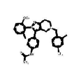 Cc1cc(C(F)(F)F)ccc1CN1CCc2nn(-c3c(C)cccc3OCC(C)C)c(-c3ccc(NC(N)=O)cc3)c2C1